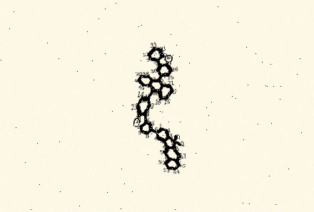 CC1(C)c2ccc(-c3ccc4oc5ccc(-c6c7ccccc7c(-c7ccc8oc9ccccc9c8c7)c7ccccc67)cc5c4c3)cc2-c2cc3ccccc3cc21